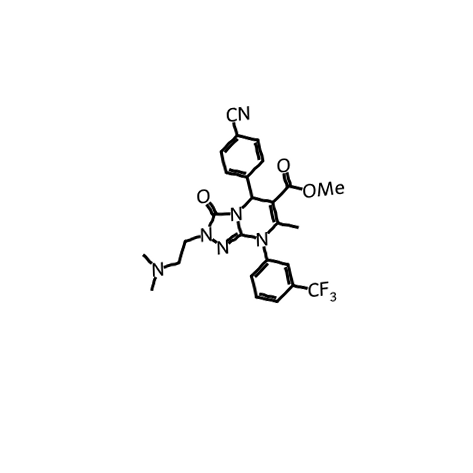 COC(=O)C1=C(C)N(c2cccc(C(F)(F)F)c2)c2nn(CCN(C)C)c(=O)n2C1c1ccc(C#N)cc1